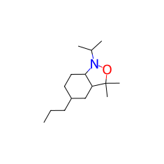 CCCC1CCC2C(C1)C(C)(C)ON2C(C)C